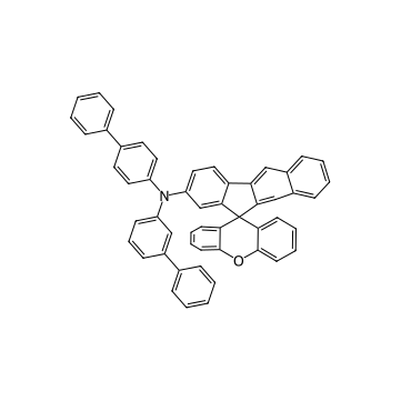 c1ccc(-c2ccc(N(c3cccc(-c4ccccc4)c3)c3ccc4c(c3)C3(c5ccccc5Oc5ccccc53)c3cc5ccccc5cc3-4)cc2)cc1